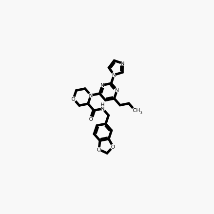 CCCc1cc(N2CCOCC2C(=O)NCc2ccc3c(c2)OCO3)nc(-n2ccnc2)n1